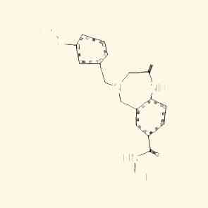 O=C1CN(Cc2cccc(OC(F)(F)F)c2)Cc2cc(C(=O)NO)ccc2N1